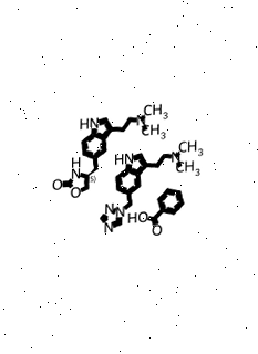 CN(C)CCc1c[nH]c2ccc(C[C@H]3COC(=O)N3)cc12.CN(C)CCc1c[nH]c2ccc(Cn3cncn3)cc12.O=C(O)c1ccccc1